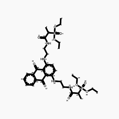 CCOP(=O)(OCC)C(C)C(=O)NCCNc1ccc(NCCNC(=O)C(C)P(=O)(OCC)OCC)c2c1C(=O)c1ccccc1C2=O